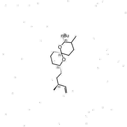 C=C[C@@H](C)CC[C@@H]1CCC[C@]2(CCC(C)[C@@H](CCCC)O2)O1